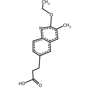 CCOc1nc2ccc(CCC(=O)O)cc2cc1C